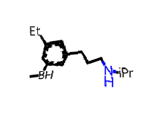 CBc1cc(CC)cc(CCCNC(C)C)c1